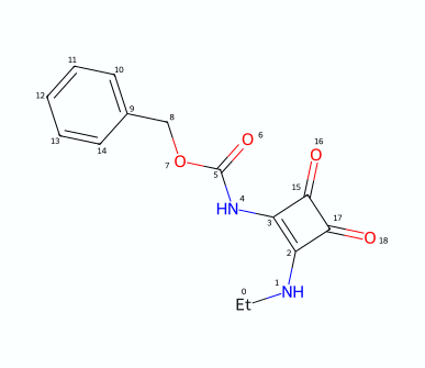 CCNc1c(NC(=O)OCc2ccccc2)c(=O)c1=O